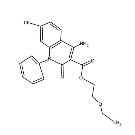 CCOCCOC(=O)c1c(N)c2ccc(Cl)cc2n(-c2ccccc2)c1=O